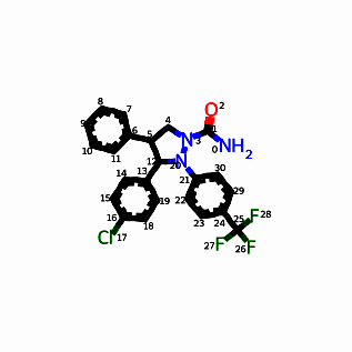 NC(=O)N1CC(c2ccccc2)C(c2ccc(Cl)cc2)N1c1ccc(C(F)(F)F)cc1